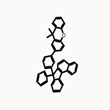 CC1(C)c2ccccc2Oc2ccc(-c3cccc(C4(c5ccccc5)c5ccccc5-c5c4ccc4ccccc54)c3)cc21